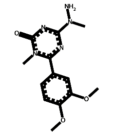 COc1ccc(-c2nc(N(C)N)nc(=O)n2C)cc1OC